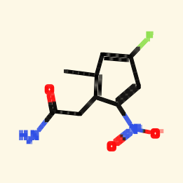 Cc1cc(F)cc([N+](=O)[O-])c1CC(N)=O